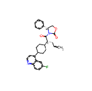 C=CC[C@@H](C(=O)N1C(=O)OC[C@H]1c1ccccc1)C1CCC(c2ccnc3ccc(F)cc23)CC1